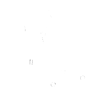 Cc1nc2c(I)c(C)ccc2c(=O)o1